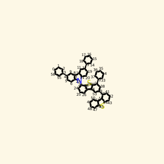 c1ccc(-c2ccc3c(c2)c2cc(-c4ccccc4)ccc2n3-c2cccc3c2sc2c(-c4ccccc4)cc(-c4cccc5sc6ccccc6c45)cc23)cc1